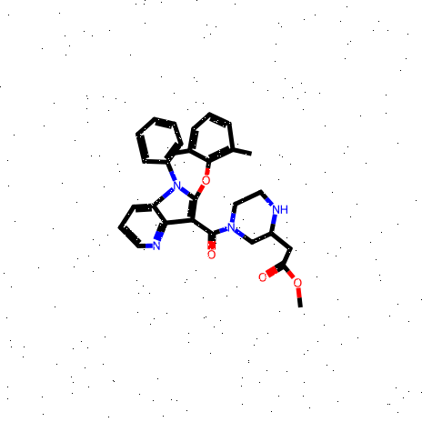 COC(=O)CC1CN(C(=O)c2c(Oc3c(C)cccc3C)n(-c3ccccc3)c3cccnc23)CCN1